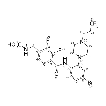 O=C(O)NCc1ccc(C(=O)Nc2ccc(Br)cc2N2CCN(CCC(F)(F)F)CC2)c(F)c1F